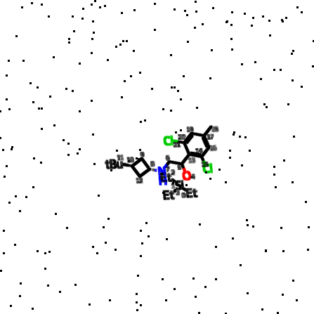 CC[Si](CC)(CC)OC(CN[C@H]1C[C@H](C(C)(C)C)C1)c1c(Cl)cc(C)cc1Cl